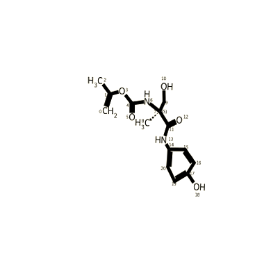 C=C(C)OC(=O)N[C@@](C)(CO)C(=O)Nc1ccc(O)cc1